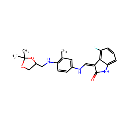 Cc1cc(NC=C2C(=O)Nc3cccc(F)c32)ccc1NCC1COC(C)(C)O1